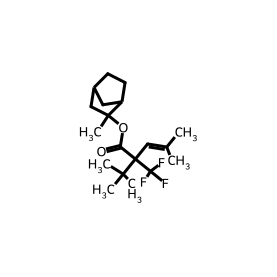 CC(C)=CC(C(=O)OC1(C)CC2CCC1C2)(C(C)(C)C)C(F)(F)F